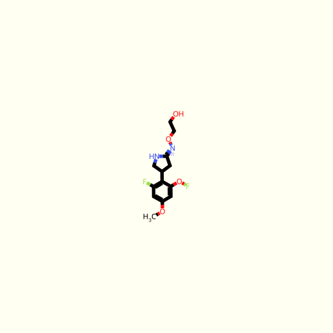 COc1cc(F)c(C2CN/C(=N\OCCO)C2)c(OF)c1